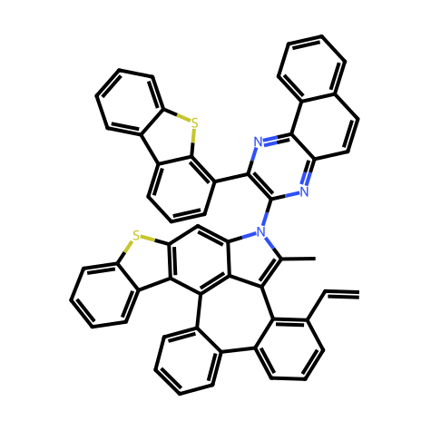 C=Cc1cccc2c1-c1c(C)n(-c3nc4ccc5ccccc5c4nc3-c3cccc4c3sc3ccccc34)c3cc4sc5ccccc5c4c(c13)-c1ccccc1-2